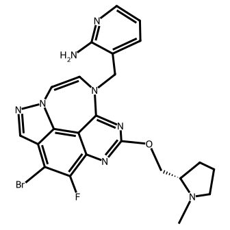 CN1CCC[C@H]1COc1nc2c(F)c(Br)c3cnn4ccn(Cc5cccnc5N)c(n1)c2c34